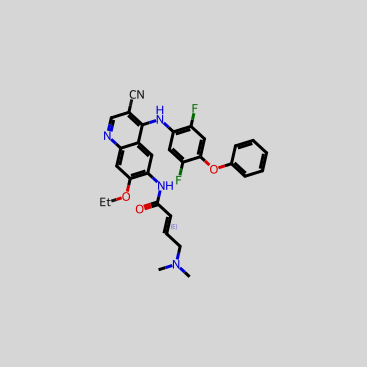 CCOc1cc2ncc(C#N)c(Nc3cc(F)c(Oc4ccccc4)cc3F)c2cc1NC(=O)/C=C/CN(C)C